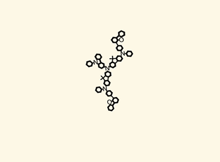 CC1(C)c2cc(N(c3ccccc3)c3ccc(-c4cccc5c4oc4ccccc45)cc3)ccc2-c2ccc(N(c3ccc4c(c3)C(C)(C)c3cc(N(c5ccccc5)c5ccc(-c6cccc7c6oc6ccccc67)cc5)ccc3-4)c3ccc4c(c3)c3ccccc3n4-c3ccccc3)cc21